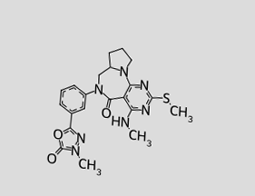 CNc1nc(SC)nc2c1C(=O)N(c1cccc(-c3nn(C)c(=O)o3)c1)CC1CCCN21